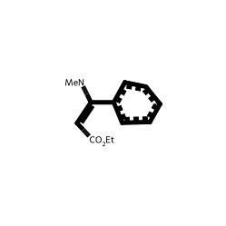 CCOC(=O)/C=C(/NC)c1ccccc1